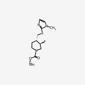 Cn1ccnc1SC[C@H]1CCN(C(=O)OC(C)(C)C)C[C@@H]1F